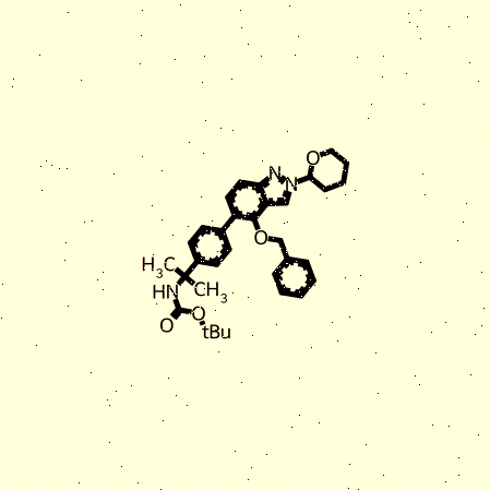 CC(C)(C)OC(=O)NC(C)(C)c1ccc(-c2ccc3nn(C4CCCCO4)cc3c2OCc2ccccc2)cc1